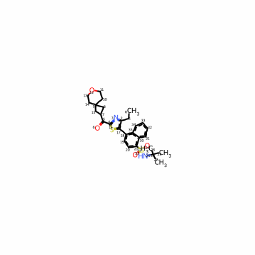 CCc1nc(C(=O)C2CC3(CCOCC3)C2)sc1-c1ccc(S(=O)(=O)NC(C)(C)C)c2ccccc12